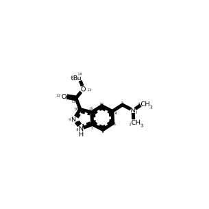 CN(C)Cc1ccc2[nH]nc(C(=O)OC(C)(C)C)c2c1